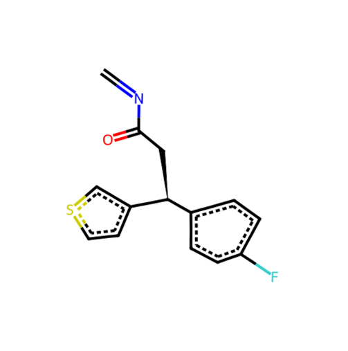 C=NC(=O)C[C@@H](c1ccc(F)cc1)c1ccsc1